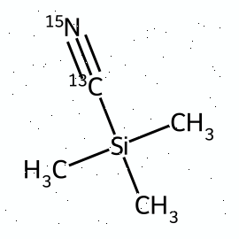 C[Si](C)(C)[13C]#[15N]